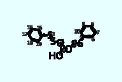 OP(OSSc1ccccc1)OSSc1ccccc1